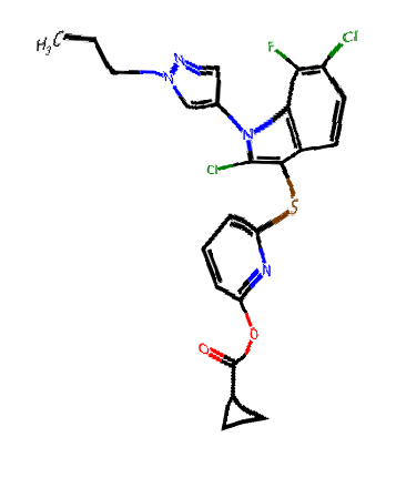 CCCn1cc(-n2c(Cl)c(Sc3cccc(OC(=O)C4CC4)n3)c3ccc(Cl)c(F)c32)cn1